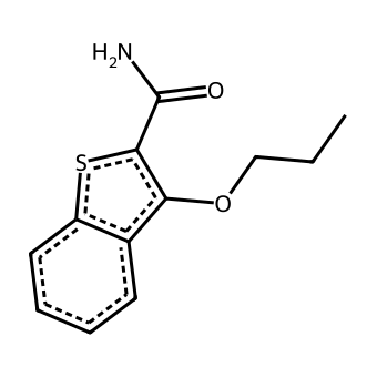 CCCOc1c(C(N)=O)sc2ccccc12